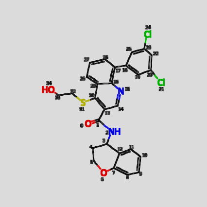 O=C(NC1CCOc2ccccc21)c1cnc2c(-c3cc(Cl)cc(Cl)c3)cccc2c1SCCO